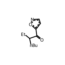 CCCCC(CC)C(=O)c1ccno1